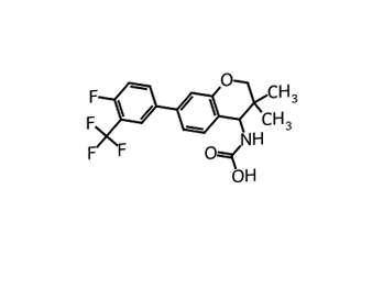 CC1(C)COc2cc(-c3ccc(F)c(C(F)(F)F)c3)ccc2C1NC(=O)O